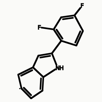 Fc1ccc(-c2cc3c[c]ccc3[nH]2)c(F)c1